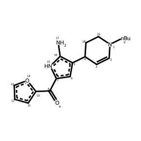 CCCCN1C=CC(c2cc(C(=O)c3ccco3)[nH]c2N)CC1